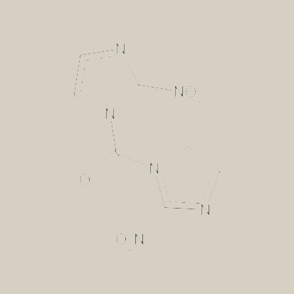 O=C(n1ccnc1[N+](=O)[O-])n1ccnc1[N+](=O)[O-]